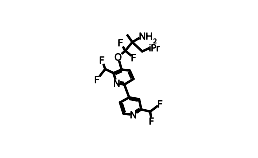 CC(C)CC(C)(N)C(F)(F)Oc1ccc(-c2ccnc(C(F)F)c2)nc1C(F)F